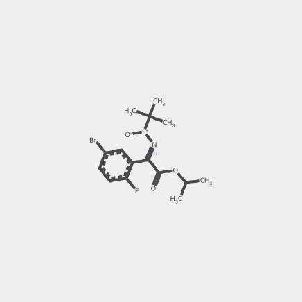 CC(C)OC(=O)/C(=N/[S+]([O-])C(C)(C)C)c1cc(Br)ccc1F